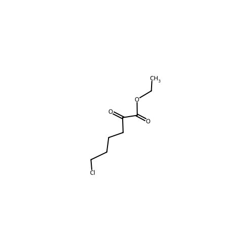 CCOC(=O)C(=O)CCCCCl